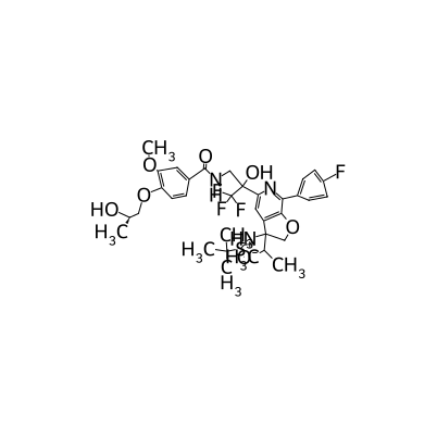 COc1cc(C(=O)NCC(O)(c2cc3c(c(-c4ccc(F)cc4)n2)OCC3(N[S+]([O-])C(C)(C)C)C(C)C)C(F)(F)F)ccc1OC[C@@H](C)O